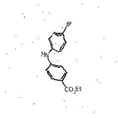 CCOC(=O)c1ccc(Nc2ccc(Br)cc2)cc1